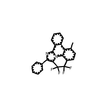 Cc1ccc2c3c1c1ccccc1c1nc(-c4ccccc4)c(n13)C(F)(F)C2(F)F